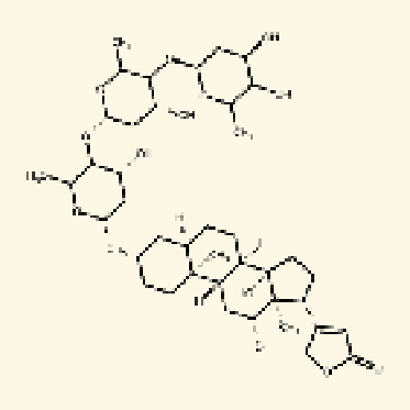 CC1O[C@@H](OC2C(C)O[C@@H](OC3C(C)O[C@@H](O[C@H]4CC[C@@]5(C)[C@H](CC[C@@H]6[C@@H]5C[C@@H](O)[C@]5(C)[C@@H](C7=CC(=O)OC7)CC[C@]65O)C4)C[C@H]3O)C[C@H]2O)C[C@@H](O)C1O